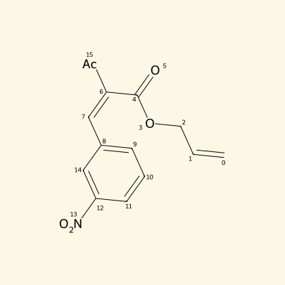 C=CCOC(=O)C(=Cc1cccc([N+](=O)[O-])c1)C(C)=O